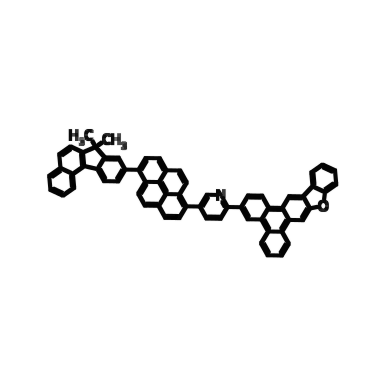 CC1(C)c2cc(-c3ccc4ccc5c(-c6ccc(-c7ccc8c(c7)c7ccccc7c7cc9oc%10ccccc%10c9cc87)nc6)ccc6ccc3c4c65)ccc2-c2c1ccc1ccccc21